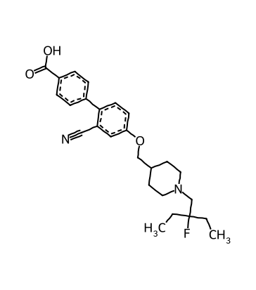 CCC(F)(CC)CN1CCC(COc2ccc(-c3ccc(C(=O)O)cc3)c(C#N)c2)CC1